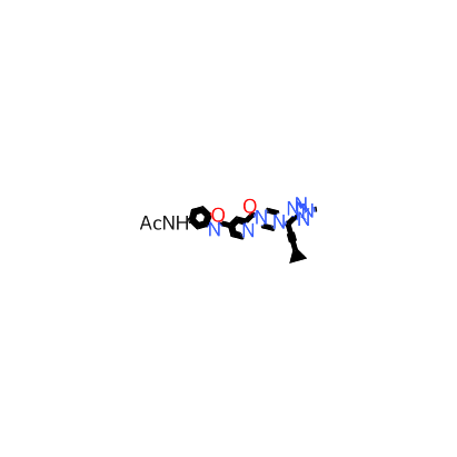 CC(=O)Nc1ccc2oc(-c3ccnc(C(=O)N4CCN(C(C#CC5CC5)c5nnn(C)n5)CC4)c3)nc2c1